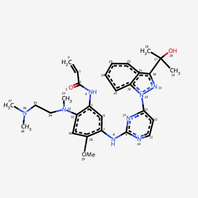 C=CC(=O)Nc1cc(Nc2nccc(-n3nc(C(C)(C)O)c4ccccc43)n2)c(OC)cc1N(C)CCN(C)C